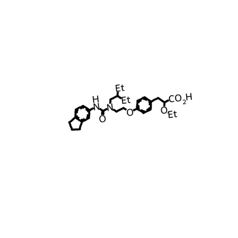 CCOC(Cc1ccc(OCCN(CC(CC)CC)C(=O)Nc2ccc3c(c2)CCC3)cc1)C(=O)O